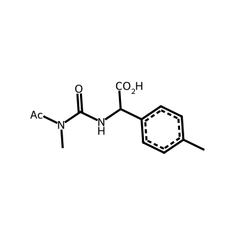 CC(=O)N(C)C(=O)NC(C(=O)O)c1ccc(C)cc1